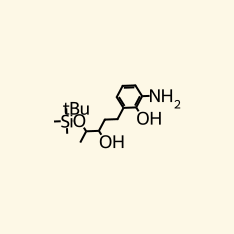 CC(O[Si](C)(C)C(C)(C)C)C(O)CCc1cccc(N)c1O